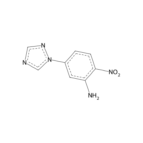 Nc1cc(-n2cncn2)ccc1[N+](=O)[O-]